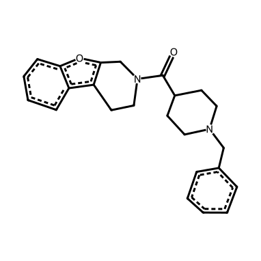 O=C(C1CCN(Cc2ccccc2)CC1)N1CCc2c(oc3ccccc23)C1